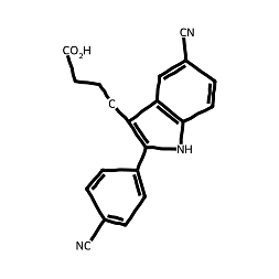 N#Cc1ccc(-c2[nH]c3ccc(C#N)cc3c2CCCC(=O)O)cc1